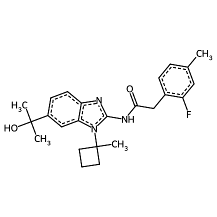 Cc1ccc(CC(=O)Nc2nc3ccc(C(C)(C)O)cc3n2C2(C)CCC2)c(F)c1